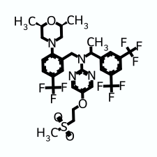 CC(c1cc(C(F)(F)F)cc(C(F)(F)F)c1)N(Cc1cc(C(F)(F)F)ccc1N1C[C@@H](C)O[C@@H](C)C1)c1ncc(OCCS(C)(=O)=O)cn1